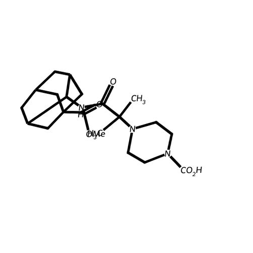 COC(=O)C12CC3CC(C1)C(NC(=O)C(C)(C)N1CCN(C(=O)O)CC1)C(C3)C2